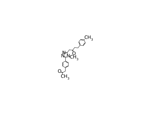 CC(=O)Cc1ccc(-c2nnc(CC(=O)CCc3ccc(C)cc3)n2C)cc1